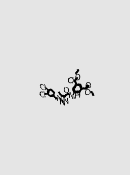 CCOC(=O)c1cc(NC(=O)c2nnn(Cc3ccc(Cl)c(Cl)c3)c2C)cc(C(=O)OCC)c1